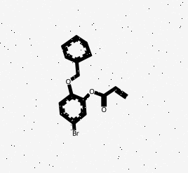 C=CC(=O)Oc1cc(Br)ccc1OCc1ccccc1